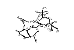 CC(C)c1cccc(C(C)C)c1N=Cc1cc(C(C)(C)C)cc(C(C)(C)C)c1O